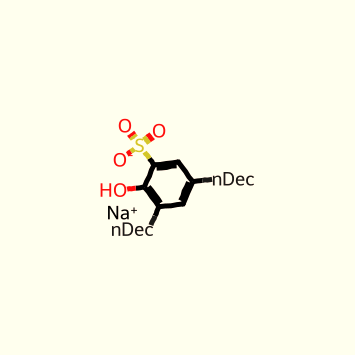 CCCCCCCCCCc1cc(CCCCCCCCCC)c(O)c(S(=O)(=O)[O-])c1.[Na+]